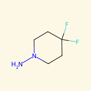 NN1CCC(F)(F)CC1